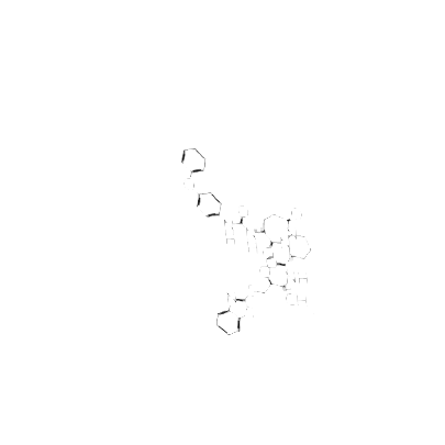 C[C@H](NC(=O)[C@@H]1CCCN2C(=O)CC[C@H](NC(=O)Nc3ccc(Oc4ccccc4)cc3)C(=O)N12)C(=O)CSc1nc2ccccc2s1